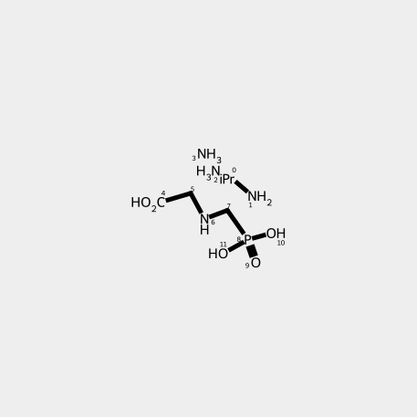 CC(C)N.N.N.O=C(O)CNCP(=O)(O)O